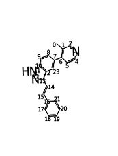 Cc1cnccc1-c1ccc2[nH]nc(C=Cc3ccccc3)c2c1